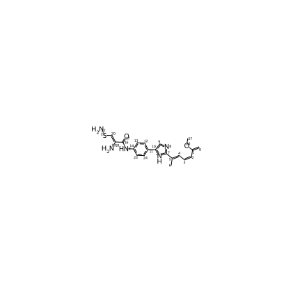 C=C(/C=C\C=C(/C)c1ncc(-c2ccc(NC(=O)/C(N)=C/SN)cc2)[nH]1)OC